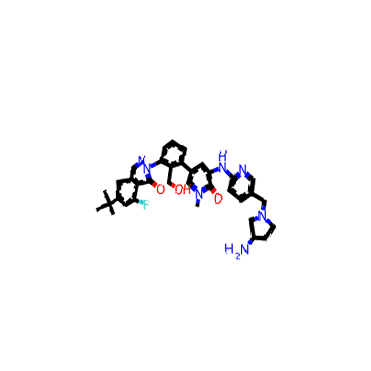 Cn1cc(-c2cccc(-n3ncc4cc(C(C)(C)C)cc(F)c4c3=O)c2CO)cc(Nc2ccc(CN3CCC(N)C3)cn2)c1=O